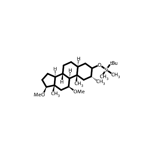 CO[C@H]1C[C@]2(C)[C@@H](OC)CC[C@H]2[C@@H]2CC[C@H]3CC(O[Si](C)(C)C(C)(C)C)[C@H](C)C[C@]3(C)[C@H]21